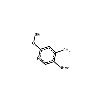 CC(=O)Nc1cnc(OC(C)(C)C)cc1C